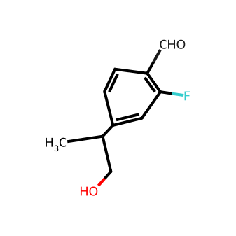 CC(CO)c1ccc(C=O)c(F)c1